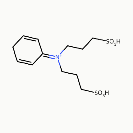 O=S(=O)(O)CCC[N+](CCCS(=O)(=O)O)=C1C=CCC=C1